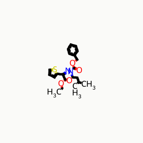 CCOC(=O)/C(=N\N(CCC(C)C)C(=O)OCc1ccccc1)c1cccs1